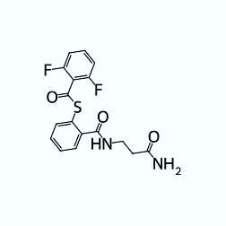 NC(=O)CCNC(=O)c1ccccc1SC(=O)c1c(F)cccc1F